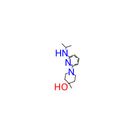 CC(C)Nc1cccc(N2CCC(C)(O)CC2)n1